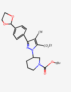 CCOC(=O)c1c(C#N)c(-c2ccc(C3OCCO3)cc2)nn1C1CCCN(C(=O)OC(C)(C)C)C1